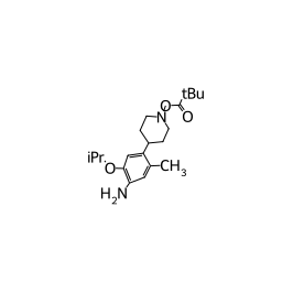 Cc1cc(N)c(OC(C)C)cc1C1CCN(OC(=O)C(C)(C)C)CC1